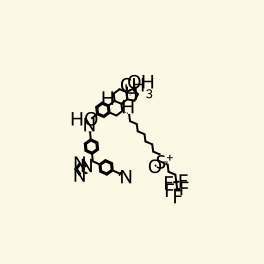 C[C@]12CC[C@@H]3c4ccc(O)cc4C[C@@H](CCCCCCCCC[S+]([O-])CCCC(F)(F)C(F)(F)F)[C@H]3[C@@H]1CC[C@@H]2O.N#Cc1ccc(C(c2ccc(C#N)cc2)n2cncn2)cc1